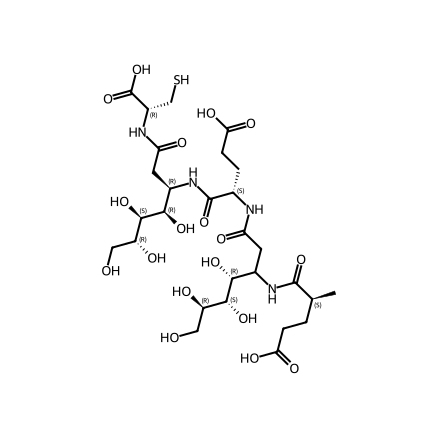 C[C@@H](CCC(=O)O)C(=O)NC(CC(=O)N[C@@H](CCC(=O)O)C(=O)N[C@H](CC(=O)N[C@@H](CS)C(=O)O)[C@@H](O)[C@H](O)[C@H](O)CO)[C@@H](O)[C@H](O)[C@H](O)CO